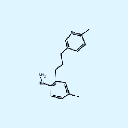 Cc1ccc(NN)c(CCCc2ccc(C)nc2)c1